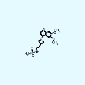 COc1cc2nccc(N3CC(CCNS(N)(=O)=O)C3)c2cc1OC